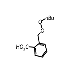 CCCCOOCc1ccccc1C(=O)O